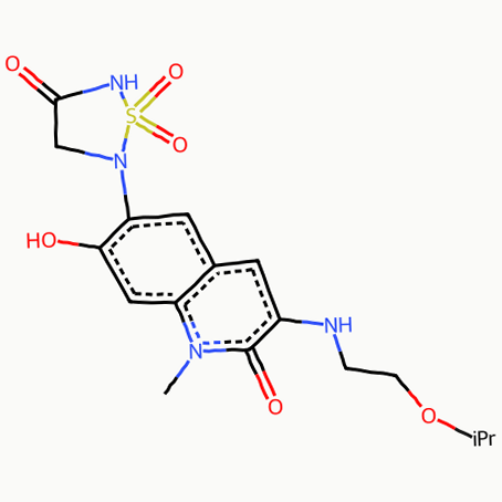 CC(C)OCCNc1cc2cc(N3CC(=O)NS3(=O)=O)c(O)cc2n(C)c1=O